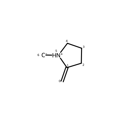 C=C1CCC[NH+]1[CH2-]